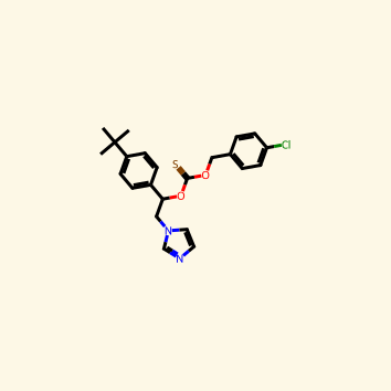 CC(C)(C)c1ccc(C(Cn2ccnc2)OC(=S)OCc2ccc(Cl)cc2)cc1